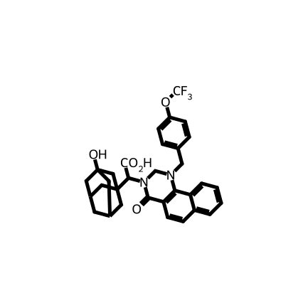 O=C(O)C(N1CN(Cc2ccc(OC(F)(F)F)cc2)c2c(ccc3ccccc23)C1=O)C12CC3CC(CC(O)(C3)C1)C2